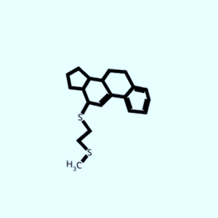 CSCCSC1C=C2c3ccccc3CCC2C2CCCC12